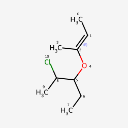 C/C=C(\C)OC(CC)C(C)Cl